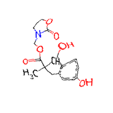 CC(C)(Cc1cc(O)ccc1CO)C(=O)OCN1CCOC1=O